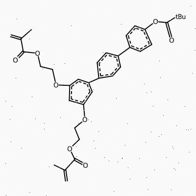 C=C(C)C(=O)OCCOc1cc(OCCOC(=O)C(=C)C)cc(-c2ccc(-c3ccc(OC(=O)C(C)(C)C)cc3)cc2)c1